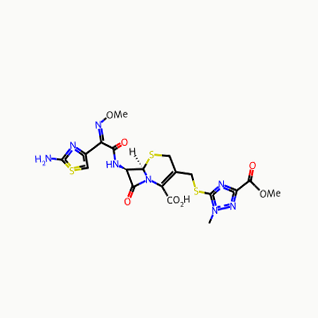 CO/N=C(\C(=O)N[C@@H]1C(=O)N2C(C(=O)O)=C(CSc3nc(C(=O)OC)nn3C)CS[C@H]12)c1csc(N)n1